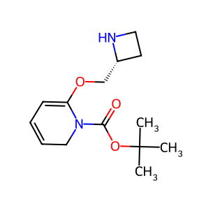 CC(C)(C)OC(=O)N1CC=CC=C1OC[C@H]1CCN1